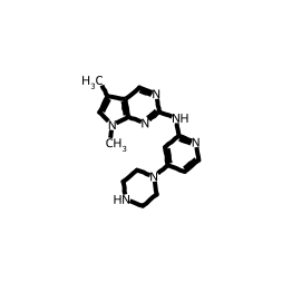 Cc1cn(C)c2nc(Nc3cc(N4CCNCC4)ccn3)ncc12